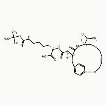 CC(C)[C@H]1COCC=CCOc2ccc(cc2)C[C@@H](NC(=O)N[C@@H](CCCCNC(=O)OC(C)(C)C)C(=O)O)C(=O)N1